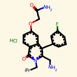 CC(C)Cn1c(CN)c(-c2cccc(F)c2)c2cc(OCC(N)=O)ccc2c1=O.Cl